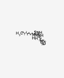 CCCCC=CCCNC(=S)NC(=N)NCCCN1CCOCC1